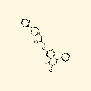 O=C1CC(c2ccccc2)c2ccc(OCC(O)CN3CCC(c4ccccc4)CC3)cc2N1